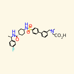 C[C@@H](NC(=O)[C@H]1CC[C@H](NS(=O)(=O)c2ccc(-c3cccc(CN(C)CC(=O)O)c3)cc2)CC1)c1ccc(F)cc1